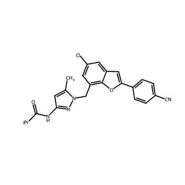 Cc1cc(NC(=O)C(C)C)nn1Cc1cc(Cl)cc2cc(-c3ccc(C#N)cc3)oc12